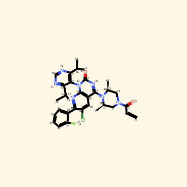 C=CC(=O)N1C[C@@H](C)N(c2nc(=O)n(-c3c(C(C)C)ncnc3C(C)C)c3nc(-c4ccccc4F)c(Cl)cc23)[C@@H](C)C1